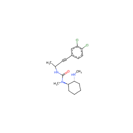 CN[C@@H]1CCCC[C@H]1N(C)C(=O)NC(C)C#Cc1ccc(Cl)c(Cl)c1